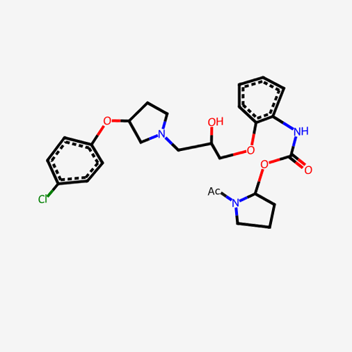 CC(=O)N1CCCC1OC(=O)Nc1ccccc1OCC(O)CN1CCC(Oc2ccc(Cl)cc2)C1